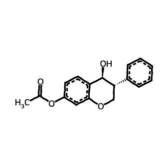 CC(=O)Oc1ccc2c(c1)OC[C@@H](c1ccccc1)[C@@H]2O